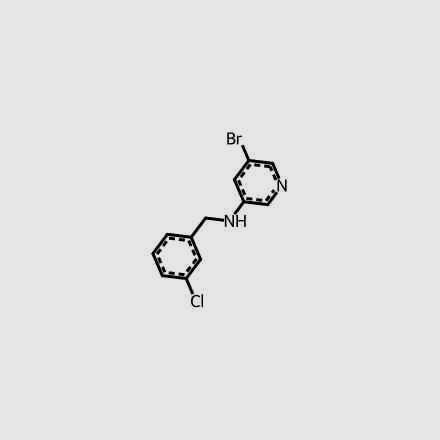 Clc1cccc(CNc2cncc(Br)c2)c1